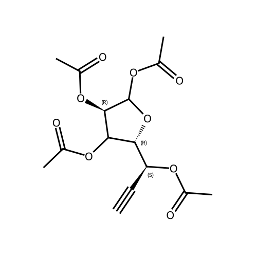 C#C[C@H](OC(C)=O)[C@H]1OC(OC(C)=O)[C@H](OC(C)=O)C1OC(C)=O